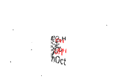 CCCCCCCCC=CCCCCCCCC(=O)O.OCCCC(CO)CO